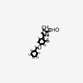 Cn1cc(-c2ccc(OCc3ccccc3)cc2F)nc1C=O